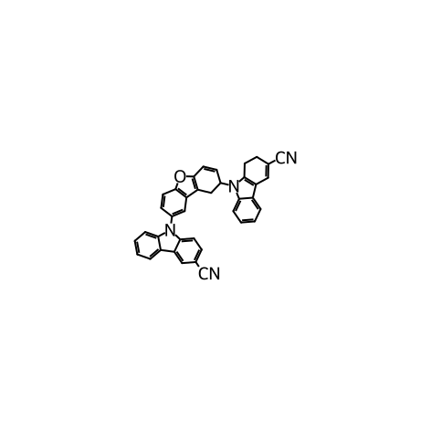 N#CC1=Cc2c(n(C3C=Cc4oc5ccc(-n6c7ccccc7c7cc(C#N)ccc76)cc5c4C3)c3ccccc23)CC1